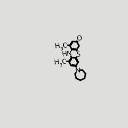 CC1=CC(=O)CC2=C1Nc1c(C)cc(N3CCCCCC3)cc1S2